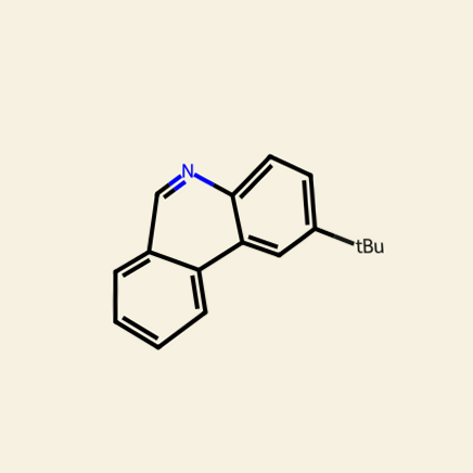 CC(C)(C)c1ccc2ncc3ccccc3c2c1